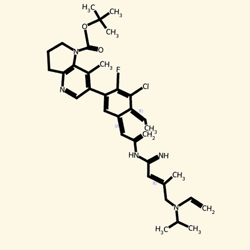 C=CN(C/C(C)=C/C(=N)NC(=C)/C=c1/cc(-c2cnc3c(c2C)N(C(=O)OC(C)(C)C)CCC3)c(F)c(Cl)/c1=C/C)C(C)C